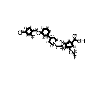 Cn1c(CN2CCC(c3cccc(OCc4ccc(Cl)cc4F)c3)CC2)nc2c(OC(F)F)cc(C(=O)O)cc21